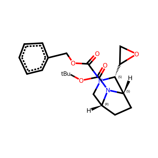 CC(C)(C)OC(=O)N1[C@@H]2CC[C@H]1[C@@H](C1CO1)N(C(=O)OCc1ccccc1)C2